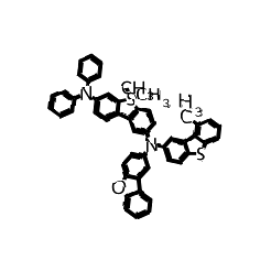 Cc1cccc2sc3ccc(N(c4ccc5c(c4)-c4ccc(N(c6ccccc6)c6ccccc6)cc4S5(C)C)c4ccc5oc6ccccc6c5c4)cc3c12